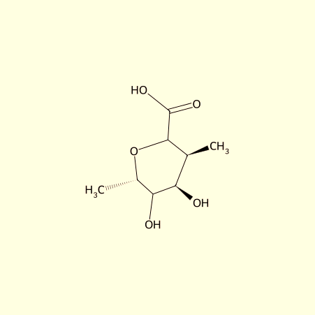 C[C@@H]1OC(C(=O)O)[C@@H](C)[C@@H](O)C1O